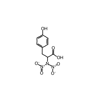 O=C(O)C(Cc1ccc(O)cc1)N([N+](=O)[O-])[N+](=O)[O-]